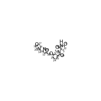 O=C1CCC(N2Cc3c(OCc4cc(CN5CCOCC5)no4)cccc3C2=O)C(=O)N1